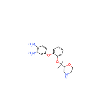 CC(C)(Oc1ccccc1Oc1ccc(N)c(N)c1)C1CNCCO1